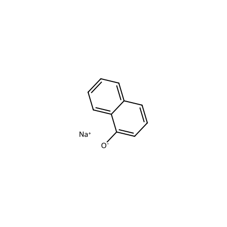 [Na+].[O-]c1cccc2ccccc12